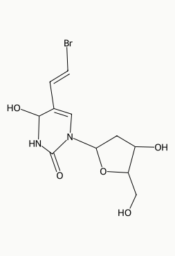 O=C1NC(O)C(/C=C/Br)=CN1C1CC(O)C(CO)O1